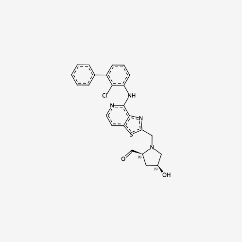 O=C[C@@H]1C[C@H](O)CN1Cc1nc2c(Nc3cccc(-c4ccccc4)c3Cl)nccc2s1